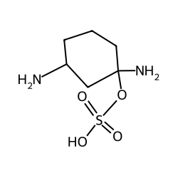 NC1CCCC(N)(OS(=O)(=O)O)C1